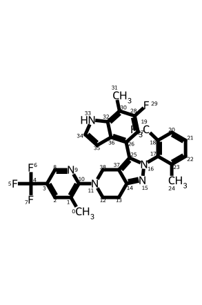 Cc1cc(C(F)(F)F)cnc1N1CCc2nn(-c3c(C)cccc3C)c(-c3cc(F)c(C)c4[nH]ccc34)c2C1